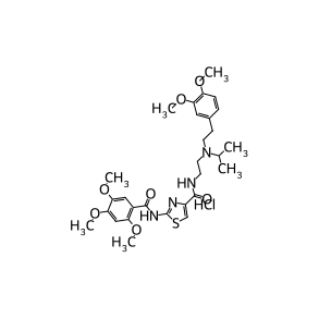 COc1ccc(CCN(CCNC(=O)c2csc(NC(=O)c3cc(OC)c(OC)cc3OC)n2)C(C)C)cc1OC.Cl